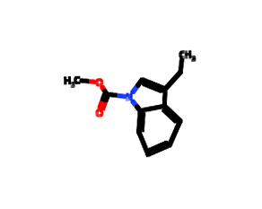 CCc1cn(C(=O)OC)c2ccccc12